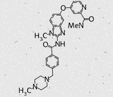 CNC(=O)c1cc(Oc2ccc3c(c2)nc(NC(=O)c2ccc(CN4CCN(C)CC4)cc2)n3C)ccn1